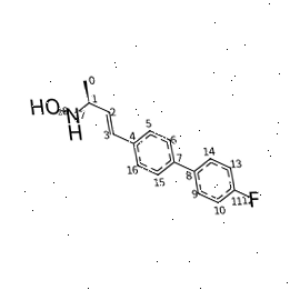 C[C@@H](/C=C/c1ccc(-c2ccc(F)cc2)cc1)NO